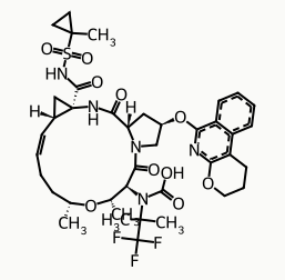 C[C@@H]1CC/C=C\[C@@H]2C[C@@]2(C(=O)NS(=O)(=O)C2(C)CC2)NC(=O)[C@@H]2C[C@@H](Oc3nc4c(c5ccccc35)CCCO4)CN2C(=O)[C@@H](N(C(=O)O)C(C)(C)C(F)(F)F)[C@H](C)O1